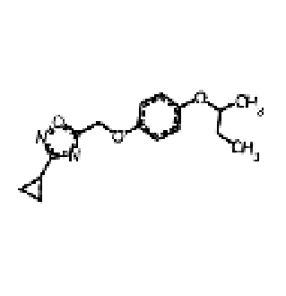 CCC(C)Oc1ccc(OCc2nc(C3CC3)no2)cc1